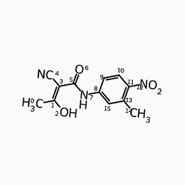 CC(O)=C(C#N)C(=O)Nc1ccc([N+](=O)[O-])c(C)c1